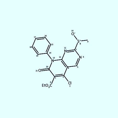 CCOC(=O)c1c(Cl)c2cnc([S+](C)[O-])nc2n(-c2ccccc2)c1=O